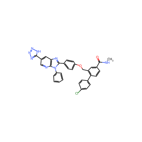 CNC(=O)c1ccc(-c2ccc(Cl)cc2)c(COc2ccc(-c3nc4cc(-c5nnn[nH]5)cnc4n3-c3ccccc3)cc2)c1